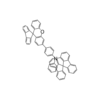 c1ccc(N(c2ccc(-c3ccc4c(c3)Oc3ccccc3C43c4ccccc4-c4ccccc43)cc2)c2cccc3c2C2(c4ccccc4-c4ccccc42)c2ccccc2-3)cc1